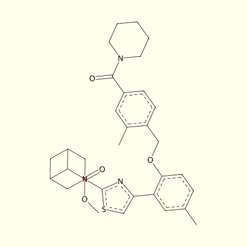 COC(=O)C1C2CC1CN(c1nc(-c3cc(C)ccc3OCc3ccc(C(=O)N4CCCCC4)cc3C)cs1)C2